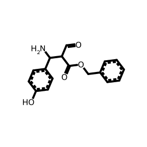 NC(c1ccc(O)cc1)C(C=O)C(=O)OCc1ccccc1